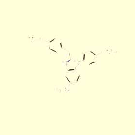 COc1ccc(Cc2nc3cc(N)ccc3n2-c2ccc(OC)cc2)cc1